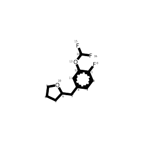 Fc1ccc([CH]C2CCCO2)cc1OC(F)F